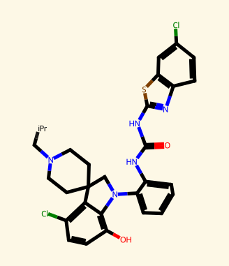 CC(C)CN1CCC2(CC1)CN(c1ccccc1NC(=O)Nc1nc3ccc(Cl)cc3s1)c1c(O)ccc(Cl)c12